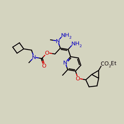 CCOC(=O)C1C2CCC(Oc3ccc(/C(N)=C(\COC(=O)N(C)CC4CCC4)N(C)N)nc3C)C21